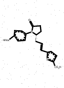 CCCCCCc1ccc(N2C(=O)CC[C@@H]2C/C=C/c2ccc(C(=O)O)s2)cc1